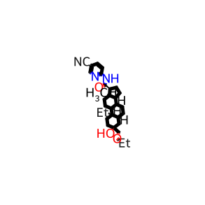 CCOC[C@@]1(O)CC[C@@]2(CC)[C@@H](CC[C@H]3[C@@H]4CC[C@H](C(=O)Nc5ccc(C#N)cn5)[C@@]4(C)CC[C@@H]32)C1